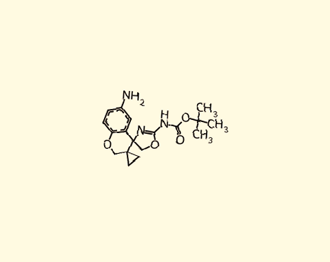 CC(C)(C)OC(=O)NC1=NC2(CO1)c1cc(N)ccc1OCC21CC1